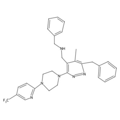 Cc1c(Cc2ccccc2)nnc(N2CCN(c3ccc(C(F)(F)F)cn3)CC2)c1CNCc1ccccc1